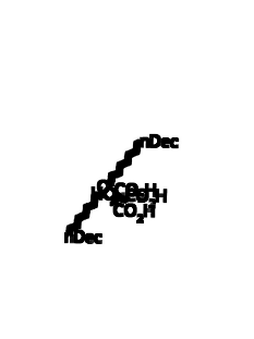 CCCCCCCCCCCCCCCCCCOCCCCCCCCCCCCCCCCCC.O=C(O)CC(O)(CC(=O)O)C(=O)O